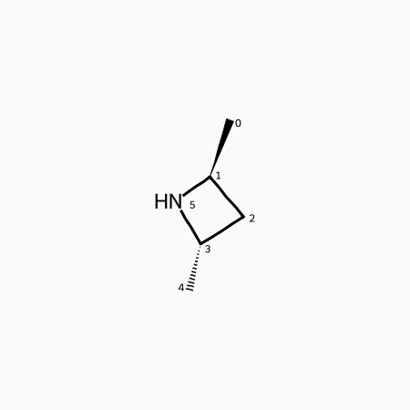 C[C@H]1C[C@H](C)N1